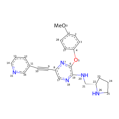 COc1ccc(Oc2nc(C#Cc3cccnc3)cnc2NC[C@@H]2CCCN2)cc1